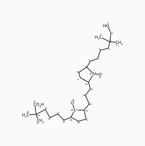 CC(C)(CO)CCCCC1CCC(CCCC2CCC(CCCCC(C)(C)C(=O)O)[S+]2[O-])[S+]1[O-]